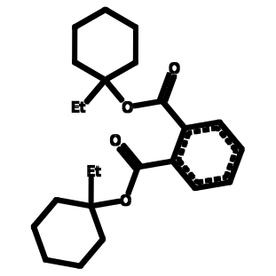 CCC1(OC(=O)c2ccccc2C(=O)OC2(CC)CCCCC2)CCCCC1